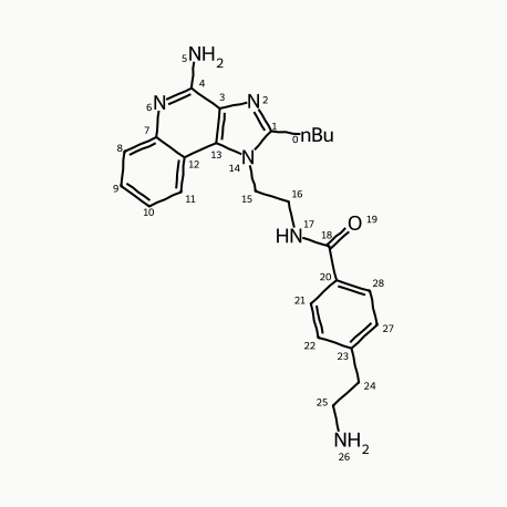 CCCCc1nc2c(N)nc3ccccc3c2n1CCNC(=O)c1ccc(CCN)cc1